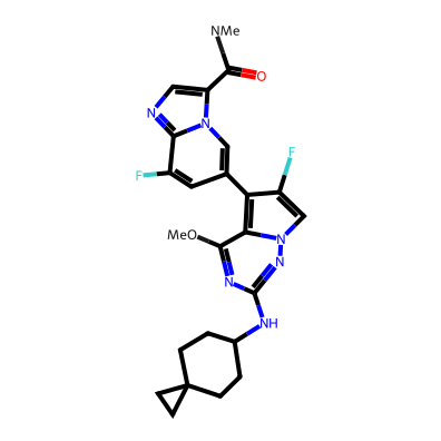 CNC(=O)c1cnc2c(F)cc(-c3c(F)cn4nc(NC5CCC6(CC5)CC6)nc(OC)c34)cn12